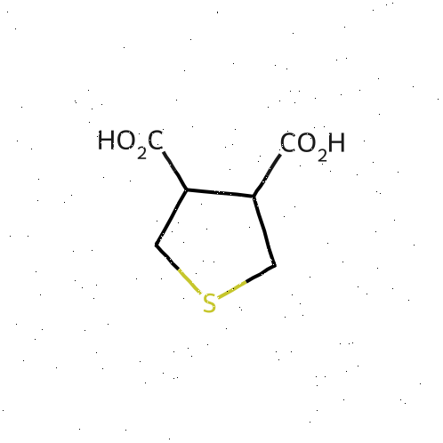 O=C(O)C1CSCC1C(=O)O